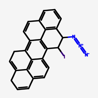 [N-]=[N+]=NC1c2cccc3ccc4c5c6c7c(ccc6c(c4c23)C1I)C=CCC7=CC5